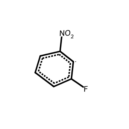 O=[N+]([O-])c1[c]c(F)ccc1